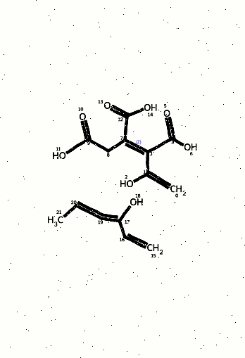 C=C(O)/C(C(=O)O)=C(\CC(=O)O)C(=O)O.C=CC(O)=C=CC